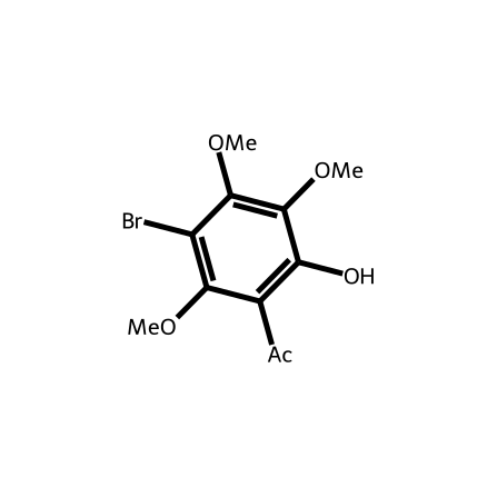 COc1c(O)c(C(C)=O)c(OC)c(Br)c1OC